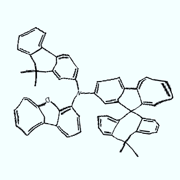 CC1(C)c2ccccc2-c2ccc(N(c3ccc4c(c3)C3(c5ccccc5-4)c4ccccc4C(C)(C)c4ccccc43)c3cccc4c3oc3ccccc34)cc21